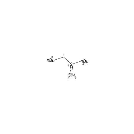 [CH2]CCCC[SiH]([SiH3])CCCC